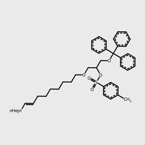 CCCCCCCC=CCCCCCCCOCC(COC(c1ccccc1)(c1ccccc1)c1ccccc1)OS(=O)(=O)c1ccc(C)cc1